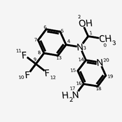 CC(O)N(c1cccc(C(F)(F)F)c1)c1cc(N)ccn1